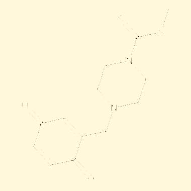 CSC(=S)N1CCN(CC2=CC(=O)C=CC2=O)CC1